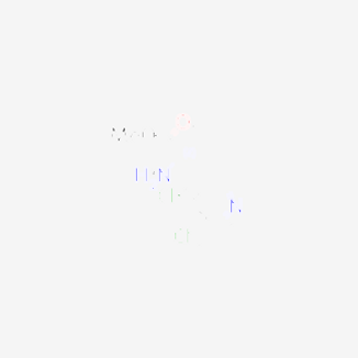 COC(=O)/C(N)=C/c1cnc(C)c(Cl)c1Cl